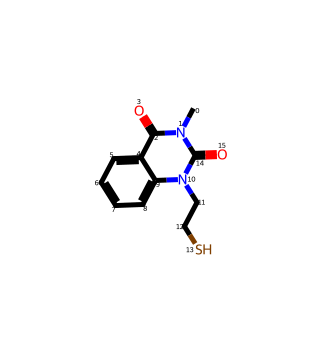 Cn1c(=O)c2ccccc2n(CCS)c1=O